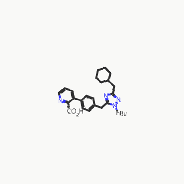 CCCCn1nc(CC2CCCCC2)nc1Cc1ccc(-c2cccnc2C(=O)O)cc1